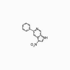 O=[N+]([O-])c1c[nH]c2cnc(-c3ccccc3)cc12